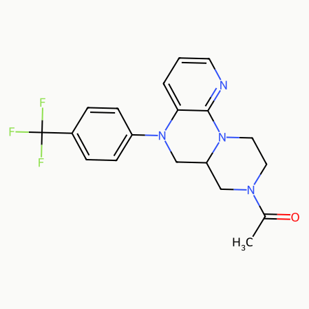 CC(=O)N1CCN2c3ncccc3N(c3ccc(C(F)(F)F)cc3)CC2C1